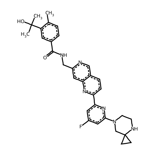 Cc1ccc(C(=O)NCc2cc3nc(-c4cc(F)cc(N5CCNC6(CC6)C5)n4)ccc3cn2)cc1C(C)(C)O